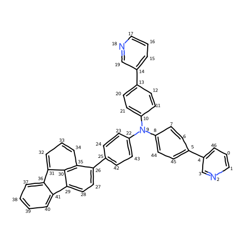 c1cncc(-c2ccc(N(c3ccc(-c4cccnc4)cc3)c3ccc(-c4ccc5c6c(cccc46)-c4ccccc4-5)cc3)cc2)c1